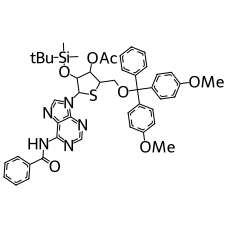 COc1ccc(C(OCC2SC(n3cnc4c(NC(=O)c5ccccc5)ncnc43)C(O[Si](C)(C)C(C)(C)C)C2OC(C)=O)(c2ccccc2)c2ccc(OC)cc2)cc1